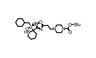 CC(C)(C)OC(=O)N1CCN(CCc2nc(C3(S(=O)(=O)CC4CCCCC4)CCCCN3)no2)CC1